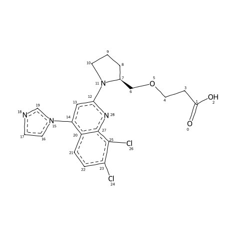 O=C(O)CCOC[C@@H]1CCCN1c1cc(-n2ccnc2)c2ccc(Cl)c(Cl)c2n1